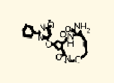 COc1cc(OC2CC3C(=O)NC4(C(N)=O)CC4C=CCCCCN(C)C(=O)C3C2)nc(-c2ccccc2)n1